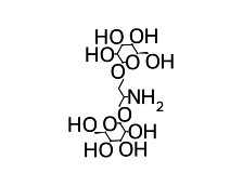 NC(CCO[C@H]1O[C@H](CO)[C@@H](O)[C@H](O)[C@@H]1O)CO[C@H]1O[C@H](CO)[C@@H](O)[C@H](O)[C@@H]1O